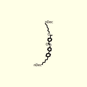 CCCCCCCCCCCCCCCCOC(C)c1ccc(C(=O)Oc2ccc(-c3ccc(CCCCCCCCCCCCCCC)cc3)cc2)cc1